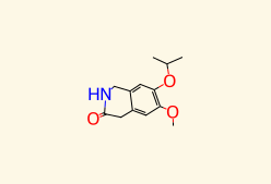 COc1cc2c(cc1OC(C)C)CNC(=O)C2